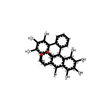 Cc1c(C)c(O)c(-c2ccccc2-c2c3ccccc3c(Br)c3c(O)c(O)c(O)c(O)c23)c(O)c1O